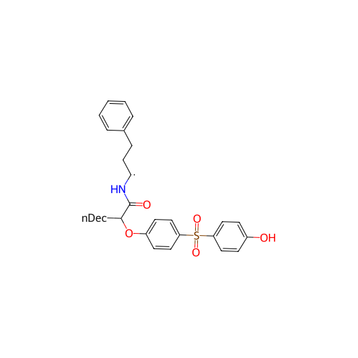 CCCCCCCCCCC(Oc1ccc(S(=O)(=O)c2ccc(O)cc2)cc1)C(=O)N[CH]CCc1ccccc1